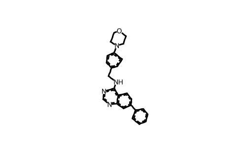 c1ccc(-c2ccc3c(NCc4ccc(N5CCOCC5)cc4)ncnc3c2)cc1